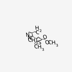 C=Cc1cnn(C)c1-c1cc(C(=O)OC)sc1CC